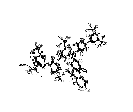 CC(C)(C)c1cc(-c2cc(N(c3ccc(-c4cc(C(C)(C)C)cc(C(C)(C)C)c4)cc3)c3ccc4c(c3)C(C)(C)c3ccccc3-4)cc(C(C)(C)C)c2)cc(-c2cc(C(C)(C)C)cc(C(C)(C)C)c2)c1